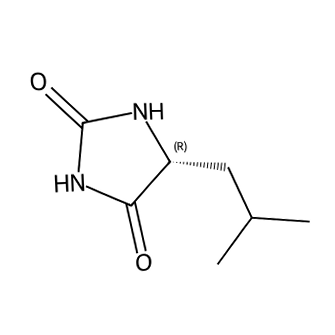 CC(C)C[C@H]1NC(=O)NC1=O